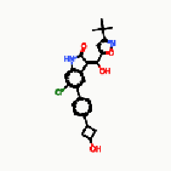 CC(C)(C)c1cc(C(O)=C2C(=O)Nc3cc(Cl)c(-c4ccc(C5CC(O)C5)cc4)cc32)on1